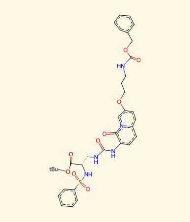 CC(C)(C)OC(=O)[C@H](CNC(=O)Nc1ccc2ccc(OCCCNC(=O)OCc3ccccc3)cn2c1=O)NS(=O)(=O)c1ccccc1